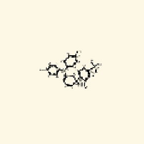 Cc1ccc(N(C2=CC=CC(N)(c3ccc(C(C)(C)C)cc3)C2)c2ccc(C)cc2)cc1